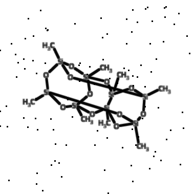 C[Si]12O[Si]3(C)O[Si]4(C)O[Si](C)(O1)O[Si]1(C)O[Si](C)(O2)O[Si](C)(O3)O[Si]1(C)O4